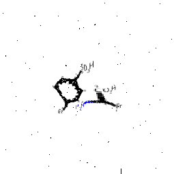 CC(C)C(N)C(=O)O.CCc1ccc(S(=O)(=O)O)cc1